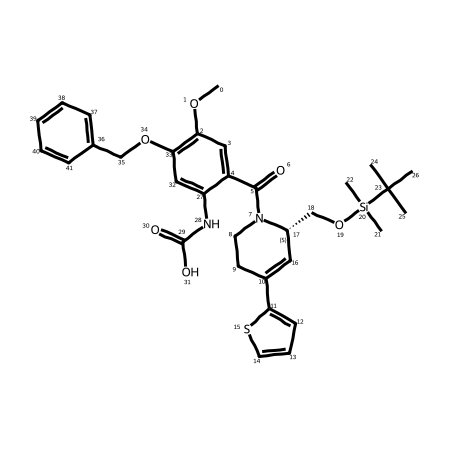 COc1cc(C(=O)N2CCC(c3cccs3)=C[C@H]2CO[Si](C)(C)C(C)(C)C)c(NC(=O)O)cc1OCc1ccccc1